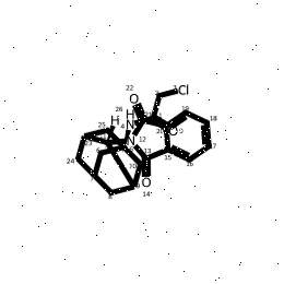 O=C(CCl)N[C@]12CC3CC(C1)[C@@H](N1C(=O)c4ccccc4C1=O)C(C3)C2